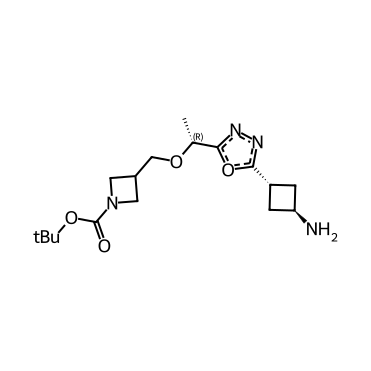 C[C@@H](OCC1CN(C(=O)OC(C)(C)C)C1)c1nnc([C@H]2C[C@H](N)C2)o1